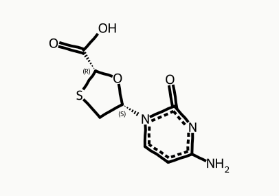 Nc1ccn([C@@H]2CS[C@H](C(=O)O)O2)c(=O)n1